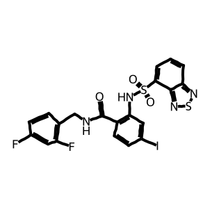 O=C(NCc1ccc(F)cc1F)c1ccc(I)cc1NS(=O)(=O)c1cccc2nsnc12